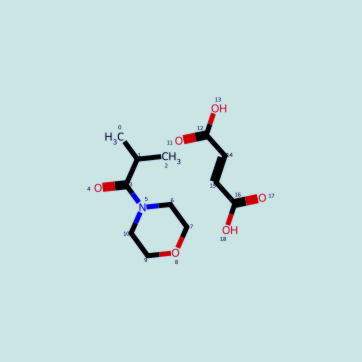 CC(C)C(=O)N1CCOCC1.O=C(O)/C=C/C(=O)O